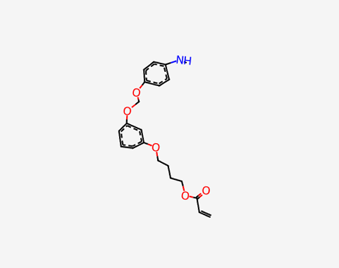 C=CC(=O)OCCCCOc1cccc(OCOc2ccc(NC)cc2)c1